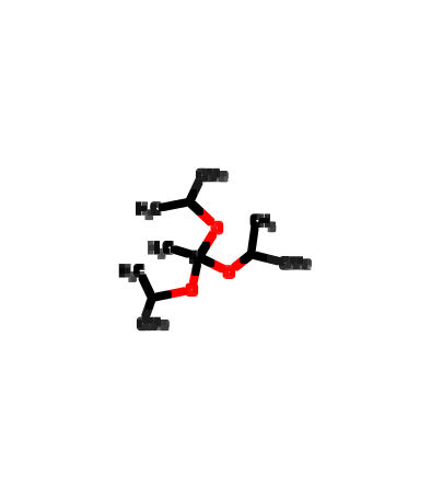 COC(C)O[Si](C)(OC(C)OC)OC(C)OC